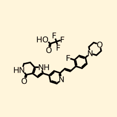 O=C(O)C(F)(F)F.O=C1NCCc2[nH]c(-c3ccnc(/C=C/c4ccc(N5CCOCC5)cc4F)c3)cc21